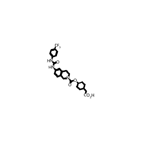 O=C(O)CC1CCC(OC(=O)N2CCc3cc(NC(=O)Nc4ccc(C(F)(F)F)cc4)ccc3C2)CC1